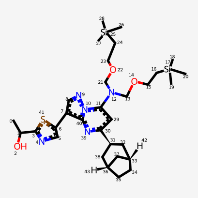 CC(O)c1ncc(-c2cnn3c(N(COCC[Si](C)(C)C)COCC[Si](C)(C)C)cc([C@H]4C[C@@H]5CC[C@@H](C5)C4)nc23)s1